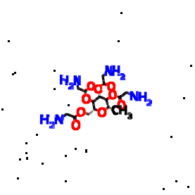 C[C@@H]1O[C@H](COC(=O)CN)[C@@H](OC(=O)CN)[C@H](OC(=O)CN)[C@H]1OC(=O)CN